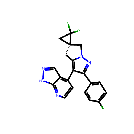 Fc1ccc(-c2nn3c(c2-c2ccnc4[nH]ncc24)C[C@]2(C3)CC2(F)F)cc1